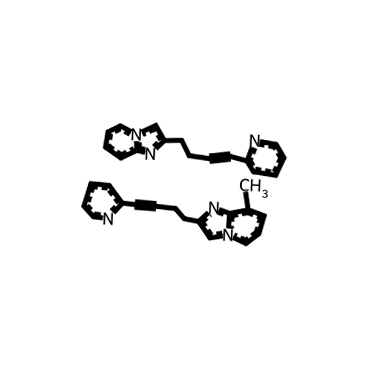 C(#Cc1ccccn1)CCc1cn2ccccc2n1.Cc1cccn2cc(CCC#Cc3ccccn3)nc12